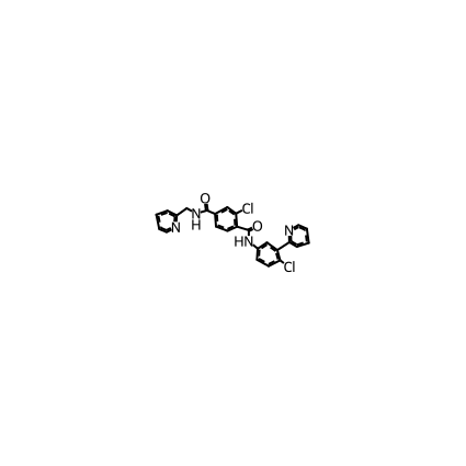 O=C(NCc1ccccn1)c1ccc(C(=O)Nc2ccc(Cl)c(-c3ccccn3)c2)c(Cl)c1